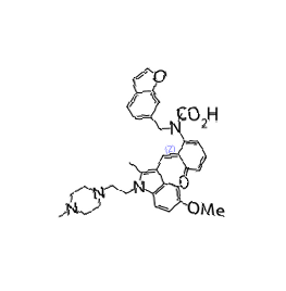 COc1ccc2c(c1)c(/C=C1\C(=O)C=CC=C1N(Cc1ccc3ccoc3c1)C(=O)O)c(C)n2CCN1CCN(C)CC1